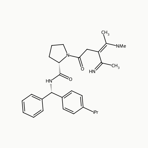 CN/C(C)=C(/CC(=O)N1CCC[C@H]1C(=O)N[C@@H](c1ccccc1)c1ccc(C(C)C)cc1)C(C)=N